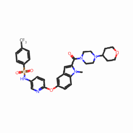 Cn1c(C(=O)N2CCN(C3CCOCC3)CC2)cc2cc(Oc3ccc(NS(=O)(=O)c4ccc(C(F)(F)F)cc4)cn3)ccc21